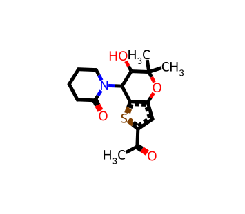 CC(=O)c1cc2c(s1)C(N1CCCCC1=O)C(O)C(C)(C)O2